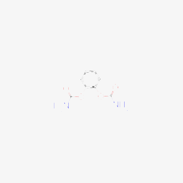 NC(=O)Oc1c[c]ccc1OC(N)=O